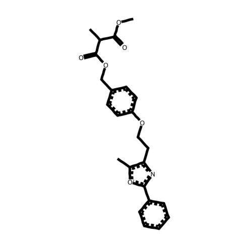 COC(=O)C(C)C(=O)OCc1ccc(OCCc2nc(-c3ccccc3)oc2C)cc1